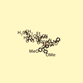 CC[C@H]1O[C@@H](c2scc3c(=O)[nH]c(/N=C/N(C)C)nc23)[C@H](OP(=O)(OCCC#N)OC[C@H]2O[C@@H](n3cnc4c(NC(=O)c5ccccc5)ncnc43)[C@H](F)[C@@H]2OC(c2ccccc2)(c2ccc(OC)cc2)c2ccc(OC)cc2)[C@@H]1OC